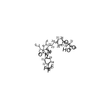 CCCC1(CCC)C(=O)N(c2ccc(C(F)(F)F)cc2)N=C1CCCc1ccc(OC(C)(C)C(=O)O)cc1